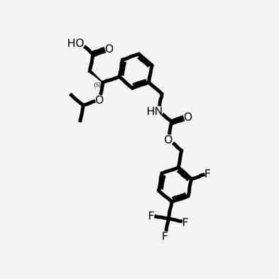 CC(C)O[C@@H](CC(=O)O)c1cccc(CNC(=O)OCc2ccc(C(F)(F)F)cc2F)c1